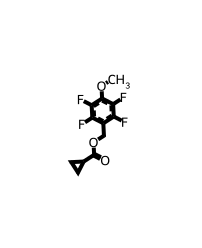 COc1c(F)c(F)c(COC(=O)C2CC2)c(F)c1F